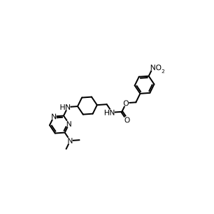 CN(C)c1ccnc(NC2CCC(CNC(=O)OCc3ccc([N+](=O)[O-])cc3)CC2)n1